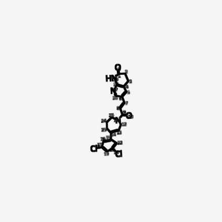 O=C1CCc2cc(/C=C/C(=O)N3CC=C(c4cc(Cl)cc(Cl)c4)CCC3)cnc2N1